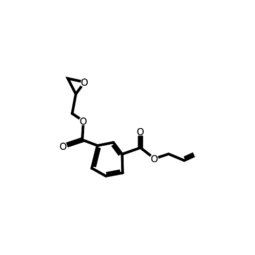 C=CCOC(=O)c1cccc(C(=O)OCC2CO2)c1